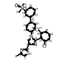 Cc1csc(-c2cn(-c3ccc(-c4cccc([SH](C)(C)=O)c4)cc3)c(-c3c(Cl)cccc3Cl)n2)n1